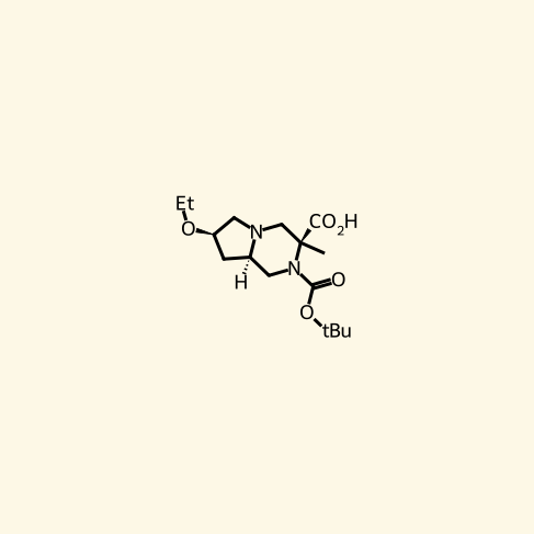 CCO[C@@H]1C[C@@H]2CN(C(=O)OC(C)(C)C)[C@](C)(C(=O)O)CN2C1